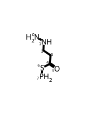 NNCCC(=O)SP